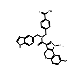 Cn1nc(C(=O)N(Cc2ccc(C(=O)O)cc2)Cc2ccc3[nH]ccc3c2)c2c1-c1cc(Cl)ccc1OC2